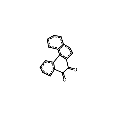 O=C1C(=O)c2ccc3ccccc3c2-c2ccccc21